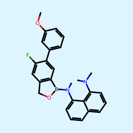 COc1cccc(-c2cc3c(cc2F)COB3N(C)c2cccc3cccc(N(C)C)c23)c1